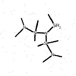 C[SiH2]N([Si](C)(C)N(C)C)[Si](C)(C)N(C)C